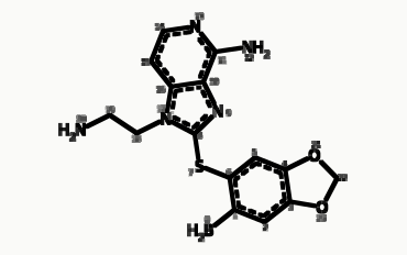 Bc1cc2c(cc1Sc1nc3c(N)nccc3n1CCN)OCO2